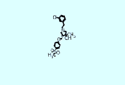 C[C@]1(O)CN(CCc2cccc(Cl)c2)C[C@H]1COc1ccc(S(C)(=O)=O)cc1